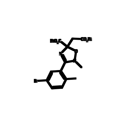 CCOC(=O)CC1(C(=O)OCC)N=C(c2cc(Br)ccc2C)N(C)O1